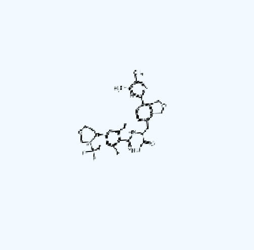 Cc1cnc(-c2ccc(CC(NC(=O)c3c(F)cc(N4CCOC[C@@H]4C(F)(F)F)cc3F)C(=O)O)c3c2COC3)nc1C